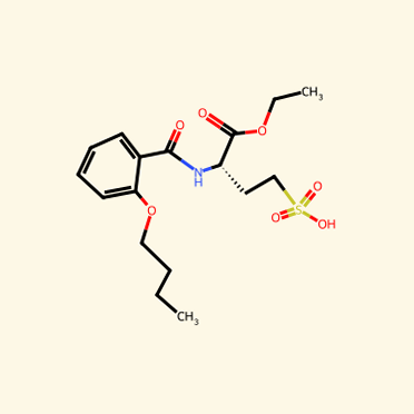 CCCCOc1ccccc1C(=O)N[C@@H](CCS(=O)(=O)O)C(=O)OCC